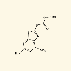 Cc1cc(N)cc2sc(OC(=O)NC(C)(C)C)nc12